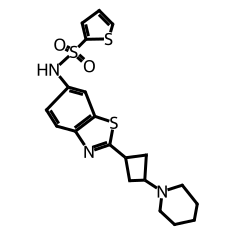 O=S(=O)(Nc1ccc2nc(C3CC(N4CCCCC4)C3)sc2c1)c1cccs1